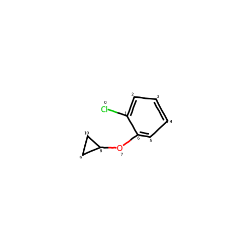 Clc1cc[c]cc1OC1CC1